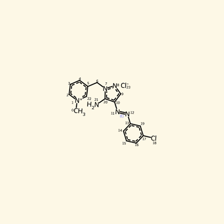 C[n+]1cccc(Cn2ncc(/N=N/c3cccc(Cl)c3)c2N)c1.[Cl-]